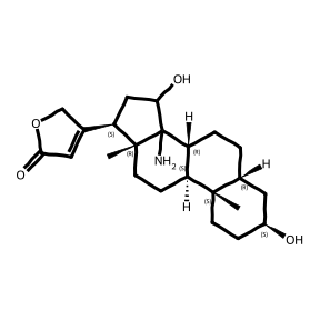 C[C@]12CC[C@H](O)C[C@H]1CC[C@@H]1[C@@H]2CC[C@]2(C)[C@@H](C3=CC(=O)OC3)CC(O)C12N